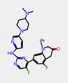 CC(C)N1CC(=O)Cc2c(F)cc(-c3nc(Nc4ccc(N5CCC(N(C)C)CC5)cn4)ncc3F)cc21